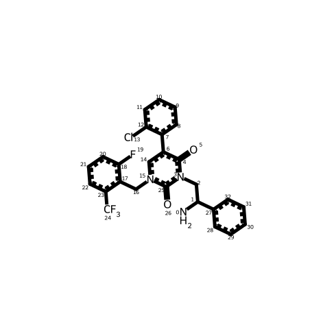 NC(Cn1c(=O)c(-c2ccccc2Cl)cn(Cc2c(F)cccc2C(F)(F)F)c1=O)c1ccccc1